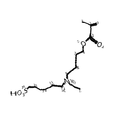 C=C(C)C(=O)OCCCCN(C)CCCCS(=O)(=O)O